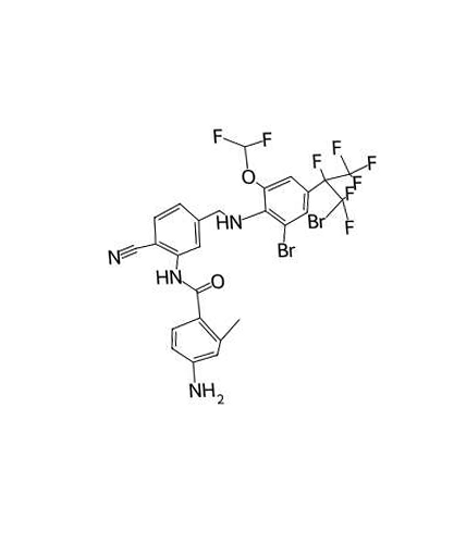 Cc1cc(N)ccc1C(=O)Nc1cc(CNc2c(Br)cc(C(F)(C(F)(F)F)C(F)(F)Br)cc2OC(F)F)ccc1C#N